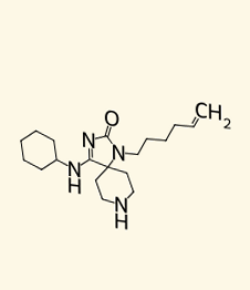 C=CCCCCN1C(=O)N=C(NC2CCCCC2)C12CCNCC2